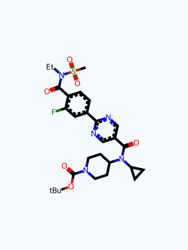 CCN(C(=O)c1ccc(-c2ncc(C(=O)N(C3CC3)C3CCN(C(=O)OC(C)(C)C)CC3)cn2)cc1F)S(C)(=O)=O